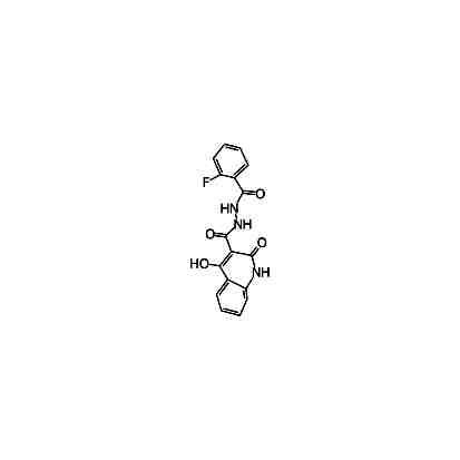 O=C(NNC(=O)c1c(O)c2ccccc2[nH]c1=O)c1ccccc1F